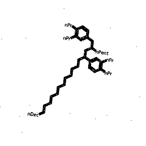 CCCCCCCCCCCCCCCCCCCCCCC([CH]C(CCCCC)Cc1ccc(CCC)c(CCC)c1)c1ccc(CCC)c(CCC)c1